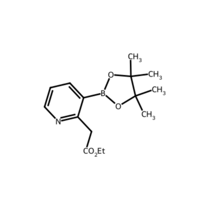 CCOC(=O)Cc1ncccc1B1OC(C)(C)C(C)(C)O1